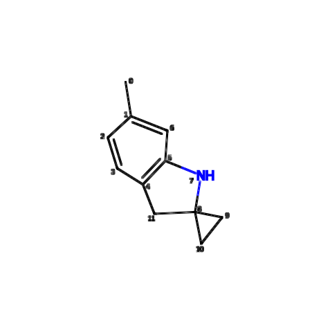 Cc1ccc2c(c1)NC1(CC1)C2